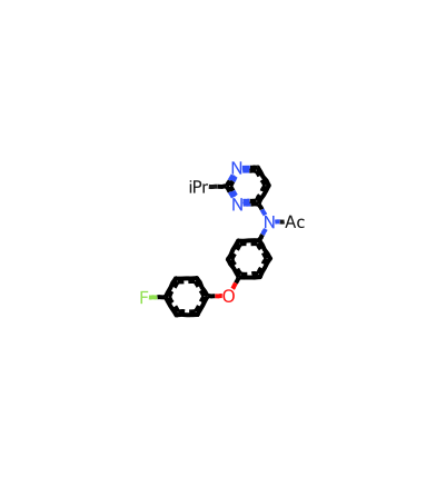 CC(=O)N(c1ccc(Oc2ccc(F)cc2)cc1)c1ccnc(C(C)C)n1